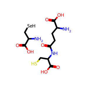 NC(CCC(=O)NC(CS)C(=O)O)C(=O)O.NC(C[SeH])C(=O)O